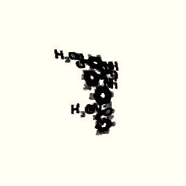 COC(=O)c1ccc2c(c1)/C(=C(/Nc1ccc(N(C)C(=O)CN3CCCCC3)cc1)c1ccccc1)C(=O)N2